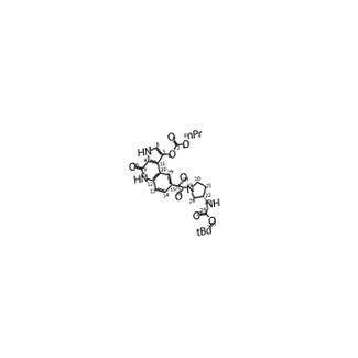 CCCOC(=O)Oc1c[nH]c2c(=O)[nH]c3ccc(S(=O)(=O)N4CC[C@H](NC(=O)OC(C)(C)C)C4)cc3c12